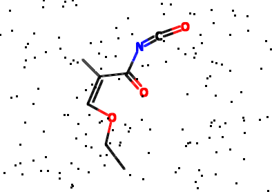 CCOC=C(C)C(=O)N=C=O